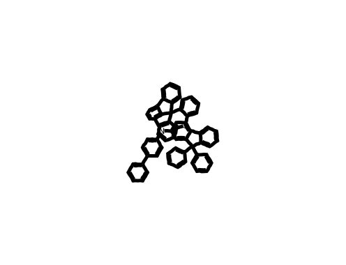 c1ccc(-c2ccc(N(c3ccc4c(c3)C(c3ccccc3)(c3ccccc3)c3ccccc3-4)c3cccc4c3C3(c5ccccc5Sc5ccccc53)c3ccccc3-4)cc2)cc1